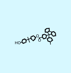 Cc1ccc(C2(c3ccc(C(=O)Oc4ccc(C(C)(C)c5ccc(O)cc5)cc4)cc3)c3ccccc3-c3ccccc32)cc1